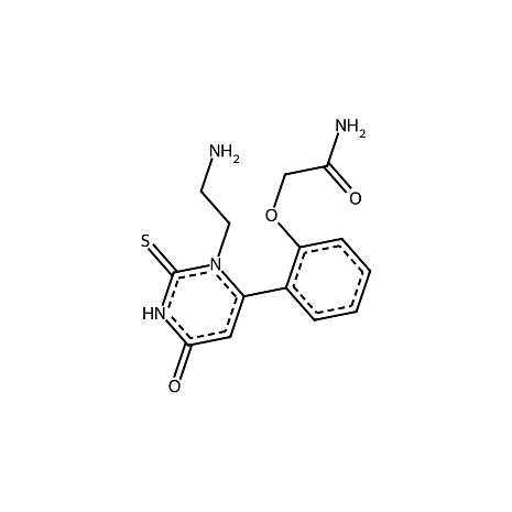 NCCn1c(-c2ccccc2OCC(N)=O)cc(=O)[nH]c1=S